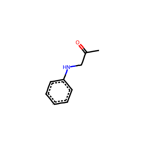 CC(=O)CNc1cc[c]cc1